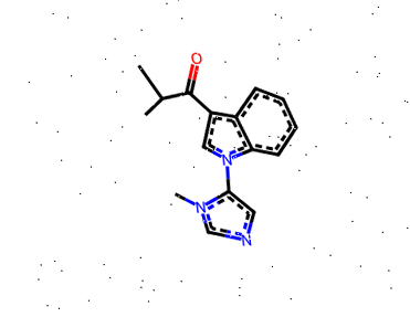 CC(C)C(=O)c1cn(-c2cncn2C)c2ccccc12